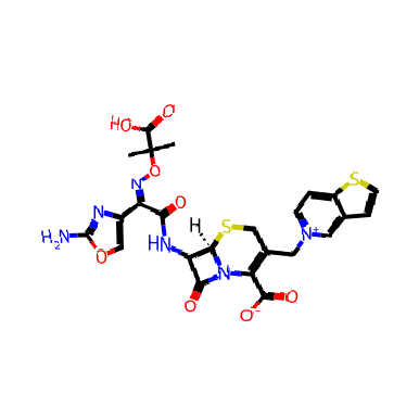 CC(C)(O/N=C(\C(=O)NC1C(=O)N2C(C(=O)[O-])=C(C[n+]3ccc4sccc4c3)CS[C@H]12)c1coc(N)n1)C(=O)O